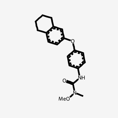 CON(C)C(=O)Nc1ccc(Oc2ccc3c(c2)CCCC3)cc1